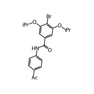 CC(=O)c1ccc(NC(=O)c2cc(OC(C)C)c(Br)c(OC(C)C)c2)cc1